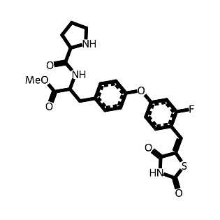 COC(=O)C(Cc1ccc(Oc2ccc(C=C3SC(=O)NC3=O)c(F)c2)cc1)NC(=O)C1CCCN1